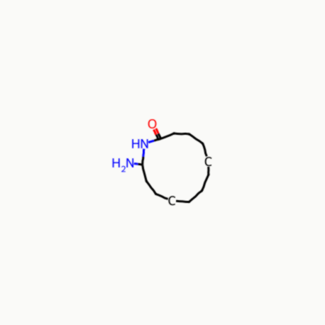 NC1CCCCCCCCCCC(=O)N1